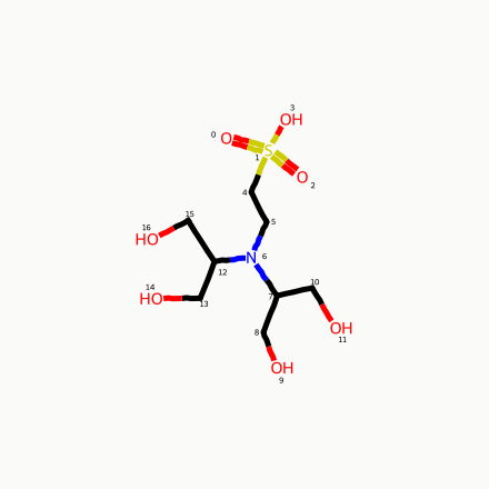 O=S(=O)(O)CCN(C(CO)CO)C(CO)CO